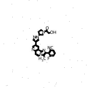 Cc1c(-c2c(F)cccc2C#N)nc2c3cc(-c4cnn(C5CCN(C(=O)CO)C5)c4)cnc3ccn12